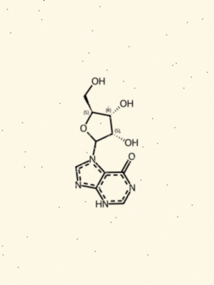 O=c1nc[nH]c2ncn(C3O[C@@H](CO)[C@H](O)[C@@H]3O)c12